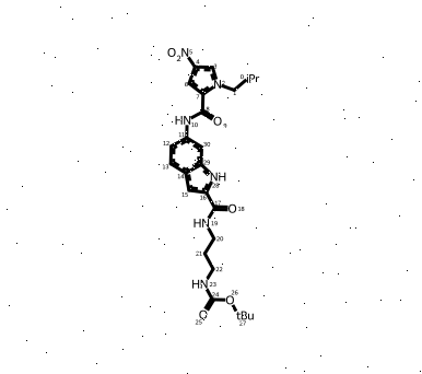 CC(C)Cn1cc([N+](=O)[O-])cc1C(=O)Nc1ccc2cc(C(=O)NCCCNC(=O)OC(C)(C)C)[nH]c2c1